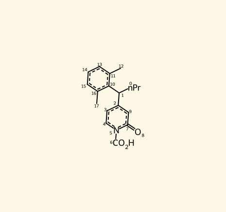 CCCC(c1ccn(C(=O)O)c(=O)c1)c1c(C)cccc1C